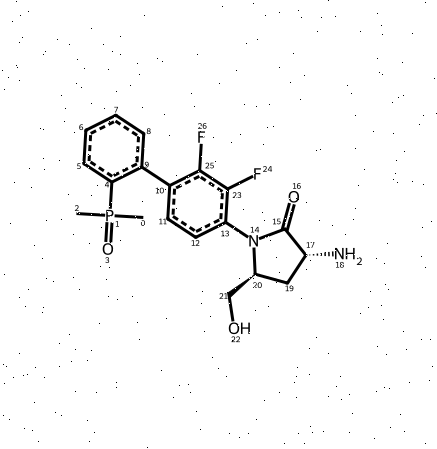 CP(C)(=O)c1ccccc1-c1ccc(N2C(=O)[C@H](N)C[C@H]2CO)c(F)c1F